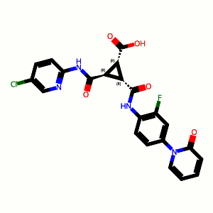 O=C(O)[C@H]1[C@H](C(=O)Nc2ccc(Cl)cn2)[C@H]1C(=O)Nc1ccc(-n2ccccc2=O)cc1F